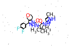 Cc1cc(NC(=O)C(NC(=O)n2nc(-c3ccc(F)c(F)c3)c3c2CCOC3)C(C)(C)C)n[nH]1